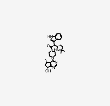 C[C@@H]1C[C@@H](O)c2ncnc(N3CCN(C(=O)[C@@H](c4c[nH]c5ccccc45)[C@@H]4CCC(C)(C)N4)CC3)c21